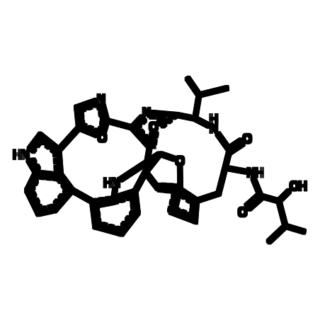 CC(C)C(O)C(=O)NC1Cc2ccc3c(c2)C24c5cccc(c5NC2O3)-c2cccc3[nH]cc(c23)-c2cnc(o2)-c2nc(oc24)C(C(C)C)NC1=O